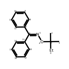 CCC(C)(C)ON=C(c1ccccc1)c1ccccc1